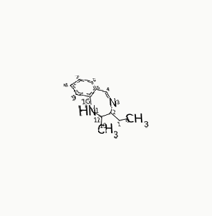 CCC1N=Cc2ccccc2NC1C